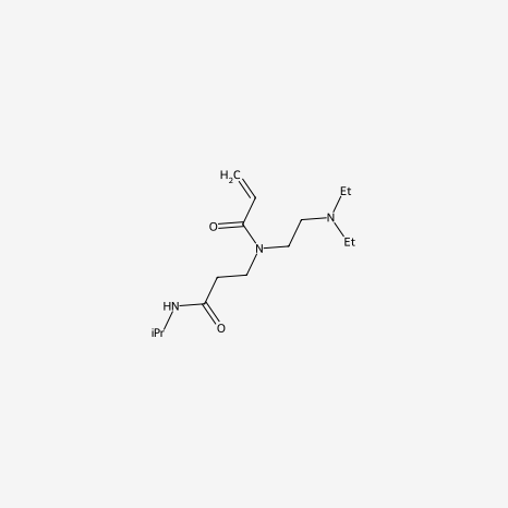 C=CC(=O)N(CCC(=O)NC(C)C)CCN(CC)CC